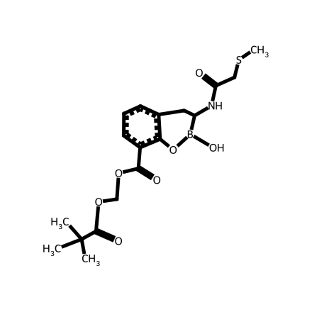 CSCC(=O)NC1Cc2cccc(C(=O)OCOC(=O)C(C)(C)C)c2OB1O